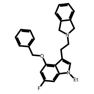 CCn1cc(CCN2Cc3ccccc3C2)c2c(OCc3ccccc3)cc(F)cc21